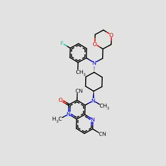 Cc1cc(F)ccc1N(CC1COCCO1)[C@H]1CC[C@H](N(C)c2c(C#N)c(=O)n(C)c3ccc(C#N)nc23)CC1